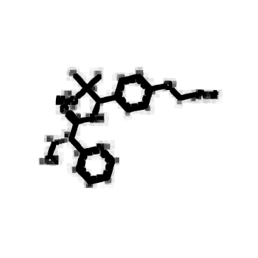 CCCC(C)COc1ccc([C@@H](NC(=O)[C@@H](CC#N)c2ccccn2)C(C)(C)OC)cc1